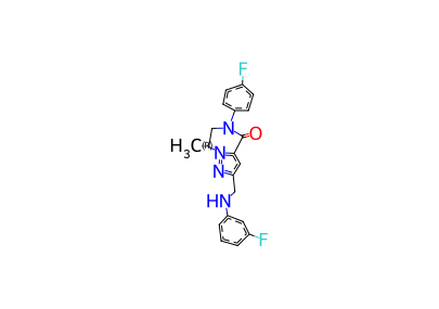 C[C@@H]1CN(c2ccc(F)cc2)C(=O)c2cc(CNc3cccc(F)c3)nn21